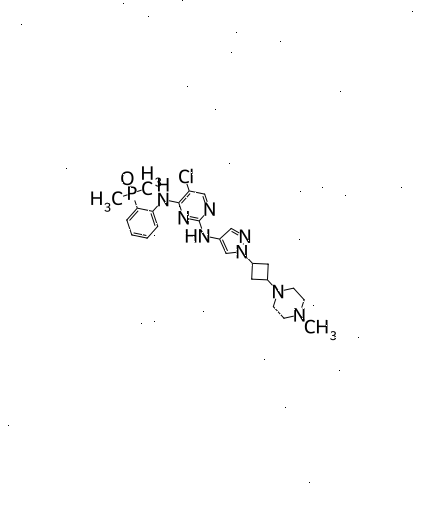 CN1CCN(C2CC(n3cc(Nc4ncc(Cl)c(Nc5ccccc5P(C)(C)=O)n4)cn3)C2)CC1